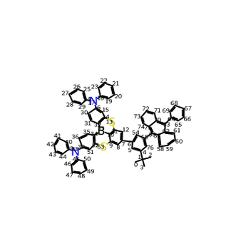 CC(C)(C)c1cc(-c2cc3c4c(c2)Sc2cc(N(c5ccccc5)c5ccccc5)ccc2B4c2ccc(N(c4ccccc4)c4ccccc4)cc2S3)cc(-c2c3ccccc3c(-c3ccccc3)c3ccccc23)c1